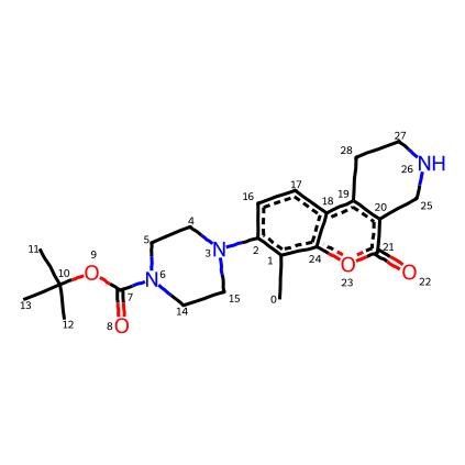 Cc1c(N2CCN(C(=O)OC(C)(C)C)CC2)ccc2c3c(c(=O)oc12)CNCC3